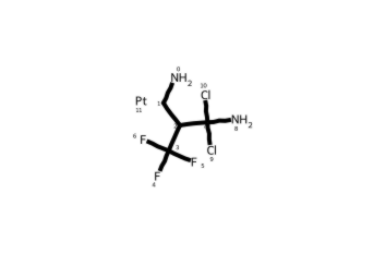 NCC(C(F)(F)F)C(N)(Cl)Cl.[Pt]